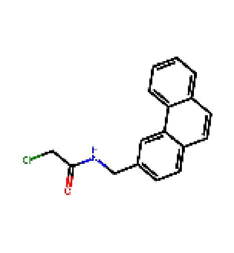 O=C(CCl)NCc1ccc2ccc3ccccc3c2c1